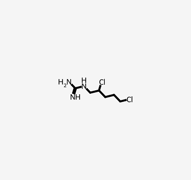 N=C(N)NCC(Cl)CCCCl